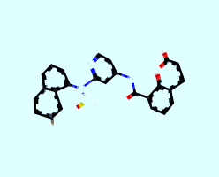 O=C(Nc1ccnc(N(c2cccc3ccc(Br)cc23)[SH](=O)=O)c1)c1cccc2ccc(=O)oc12